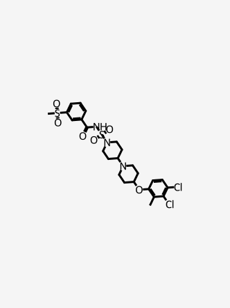 Cc1c(OC2CCN(C3CCN(S(=O)(=O)NC(=O)c4cccc(S(C)(=O)=O)c4)CC3)CC2)ccc(Cl)c1Cl